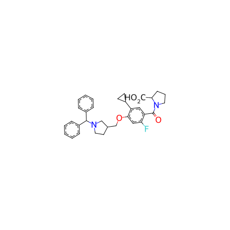 O=C(O)C1CCCN1C(=O)c1cc(C2CC2)c(OCC2CCN(C(c3ccccc3)c3ccccc3)C2)cc1F